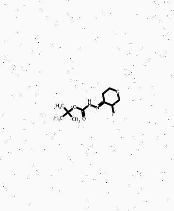 CC(C)(C)OC(=O)N/N=C1\CCOCC1F